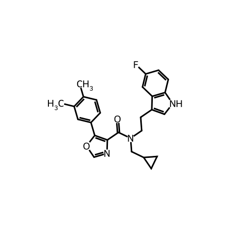 Cc1ccc(-c2ocnc2C(=O)N(CCc2c[nH]c3ccc(F)cc23)CC2CC2)cc1C